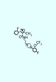 Cc1onc(-c2ccccc2F)c1C(=O)NCCCN1CCN(c2ccc(F)cc2OCC(F)(F)F)CC1